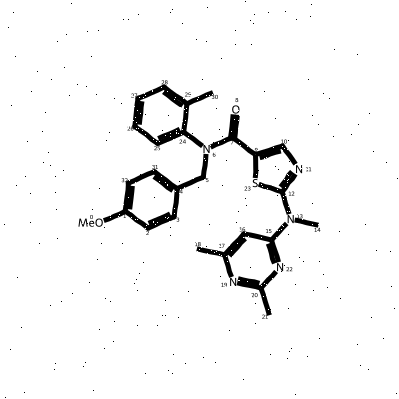 COc1ccc(CN(C(=O)c2cnc(N(C)c3cc(C)nc(C)n3)s2)c2ccccc2C)cc1